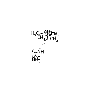 CC(C)(C)c1cc(CCCCNC(=O)C(=O)NN)cc(C(C)(C)C)c1O